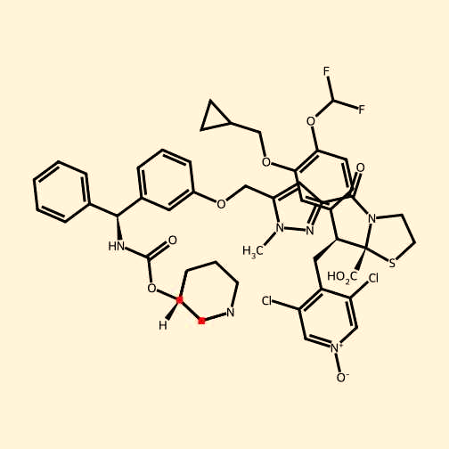 Cn1nc(C(=O)N2CCS[C@]2(C(=O)O)[C@@H](Cc2c(Cl)c[n+]([O-])cc2Cl)c2ccc(OC(F)F)c(OCC3CC3)c2)cc1COc1cccc([C@@H](NC(=O)O[C@H]2CN3CCC2CC3)c2ccccc2)c1